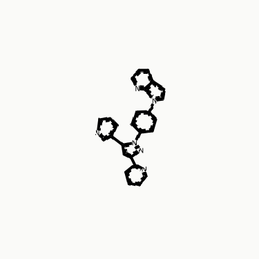 c1ccc(-c2cc(-c3cccnc3)n(-c3ccc(-n4ccc5cccnc54)cc3)n2)nc1